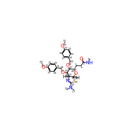 CNC(=O)CC[C@H]1O[C@@H]2SC(N(C)C)=N[C@@H]2[C@@H](OCc2ccc(OC)cc2)[C@@H]1OCc1ccc(OC)cc1